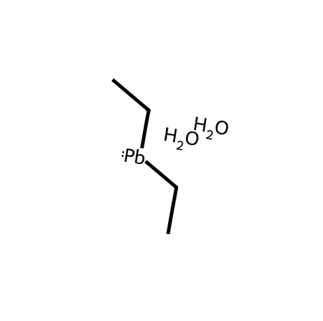 C[CH2][Pb][CH2]C.O.O